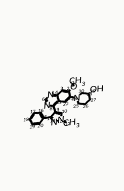 COc1cc2ncnc(-c3cn(C)nc3-c3ccccc3)c2cc1N1CCC[C@H](O)C1